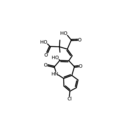 CC(C)(C(=O)O)C(=Cc1c(O)c(=O)[nH]c2cc(Cl)ccc2c1=O)C(=O)O